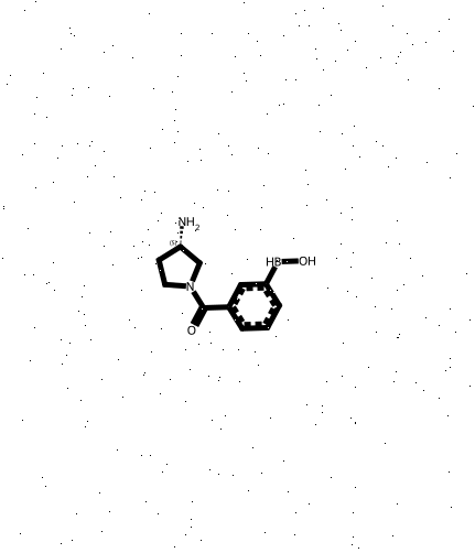 N[C@H]1CCN(C(=O)c2cccc(BO)c2)C1